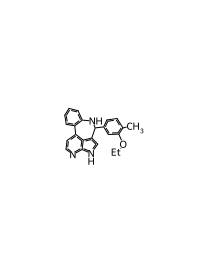 CCOc1cc(C2Nc3ccccc3-c3ccnc4[nH]cc2c34)ccc1C